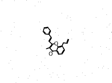 C=CCc1cccc2c(=O)c(C)c(C=Cc3ccccc3)oc12